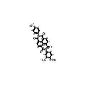 CCCCc1ccc(N2C(=O)c3ccc4c5c(ccc(c35)C2=O)C(=O)N(C2=CC(C)C(CCCC)C=C2)C4=O)cc1